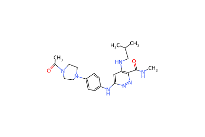 CNC(=O)c1nnc(Nc2ccc(N3CCN(C(C)=O)CC3)cc2)cc1NCC(C)C